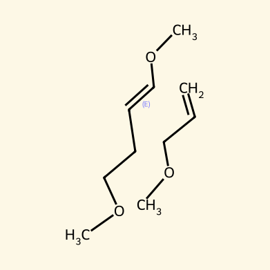 C=CCOC.CO/C=C/CCOC